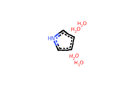 O.O.O.O.c1cc[nH]c1